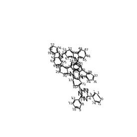 c1ccc(-c2nc(-c3ccccc3)nc(-c3ccc(-n4c5ccccc5c5ccccc54)c(-n4c5ccccc5c5cc(-n6c7ccccc7c7ccc(-n8c9ccccc9c9ccccc98)cc76)ccc54)c3)n2)cc1